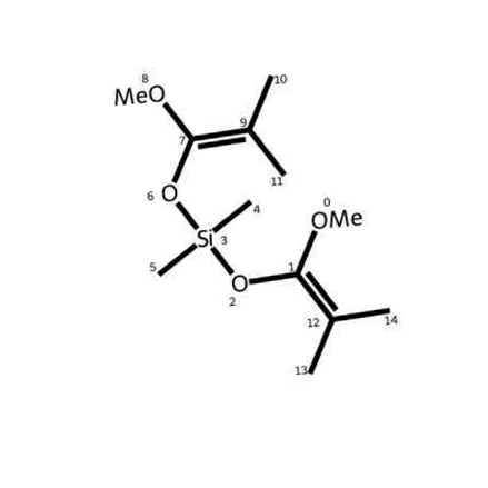 COC(O[Si](C)(C)OC(OC)=C(C)C)=C(C)C